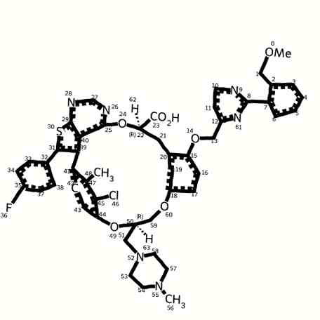 COCc1ccccc1-c1nccc(COc2ccc3cc2C[C@H](C(=O)O)Oc2ncnc4sc(-c5ccc(F)cc5)c(c24)-c2ccc(c(Cl)c2C)O[C@H](CN2CCN(C)CC2)CO3)n1